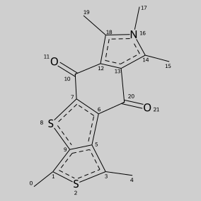 Cc1sc(C)c2c3c(sc12)C(=O)c1c(c(C)n(C)c1C)C3=O